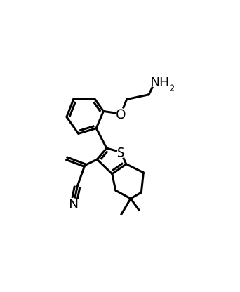 C=C(C#N)c1c(-c2ccccc2OCCN)sc2c1CC(C)(C)CC2